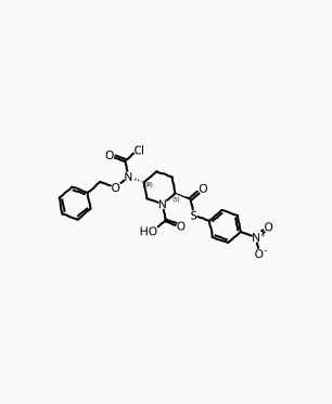 O=C(Sc1ccc([N+](=O)[O-])cc1)[C@@H]1CC[C@@H](N(OCc2ccccc2)C(=O)Cl)CN1C(=O)O